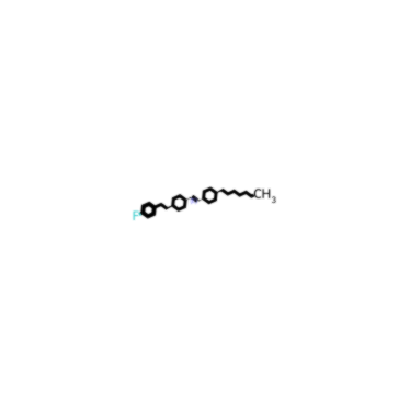 CCCCCCC[C@H]1CC[C@H](/C=C/[C@H]2CC[C@H](CCc3ccc(F)cc3)CC2)CC1